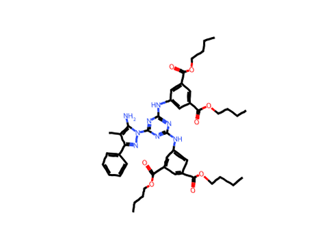 CCCCOC(=O)c1cc(Nc2nc(Nc3cc(C(=O)OCCCC)cc(C(=O)OCCCC)c3)nc(-n3nc(-c4ccccc4)c(C)c3N)n2)cc(C(=O)OCCCC)c1